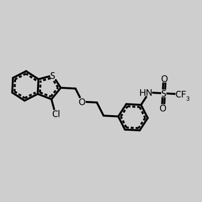 O=S(=O)(Nc1cccc(CCOCc2sc3ccccc3c2Cl)c1)C(F)(F)F